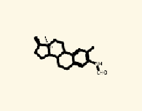 C=C1CCC2C3CCc4cc(NC=O)c(C)cc4C3CC[C@]12C